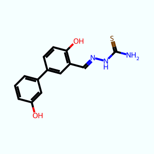 NC(=S)N/N=C/c1cc(-c2cccc(O)c2)ccc1O